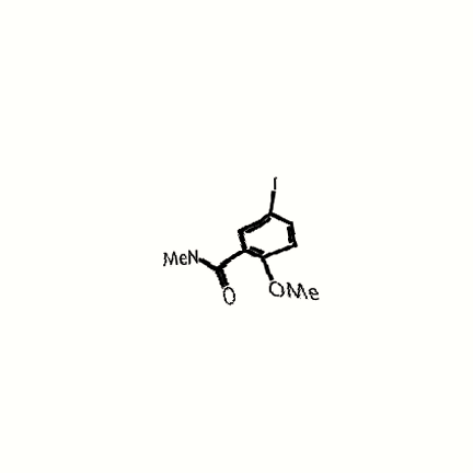 CNC(=O)c1cc(I)ccc1OC